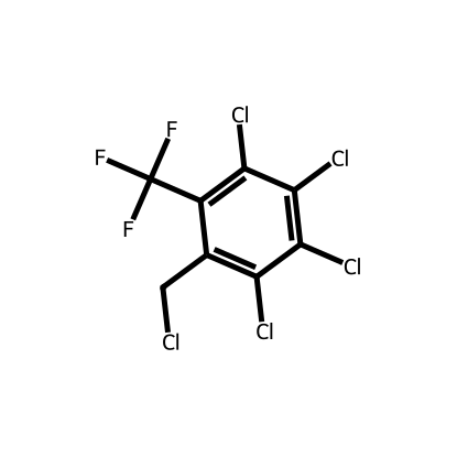 FC(F)(F)c1c(Cl)c(Cl)c(Cl)c(Cl)c1CCl